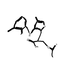 CC(=O)OCC(C(=O)O)c1scc(C)c1Nc1cccc(C)c1C